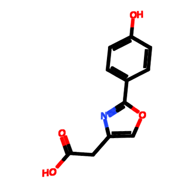 O=C(O)Cc1coc(-c2ccc(O)cc2)n1